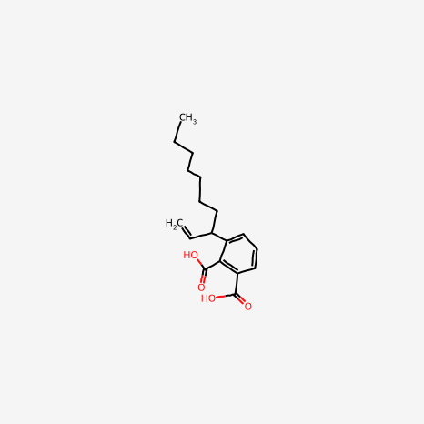 C=CC(CCCCCCC)c1cccc(C(=O)O)c1C(=O)O